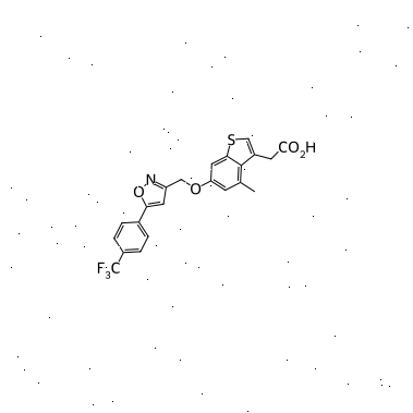 Cc1cc(OCc2cc(-c3ccc(C(F)(F)F)cc3)on2)cc2scc(CC(=O)O)c12